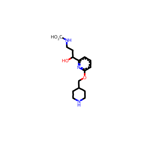 O=C(O)NCCC(O)c1cccc(OCC2CCNCC2)n1